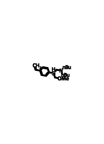 C=Cc1ccc([SiH](COC)CN(CCCC)CCCC)cc1